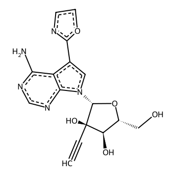 C#C[C@@]1(O)[C@H](O)[C@@H](CO)O[C@H]1n1cc(-c2ncco2)c2c(N)ncnc21